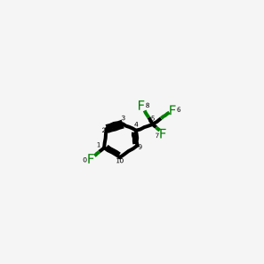 Fc1c#cc(C(F)(F)F)cc1